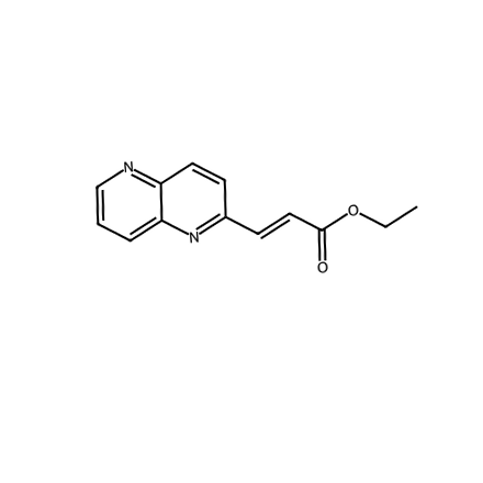 CCOC(=O)/C=C/c1ccc2ncccc2n1